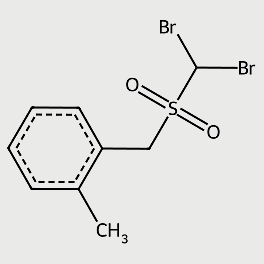 Cc1ccccc1CS(=O)(=O)C(Br)Br